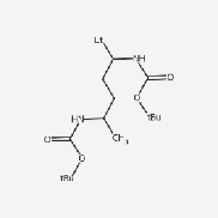 CCC(CCC(C)NC(=O)OC(C)(C)C)NC(=O)OC(C)(C)C